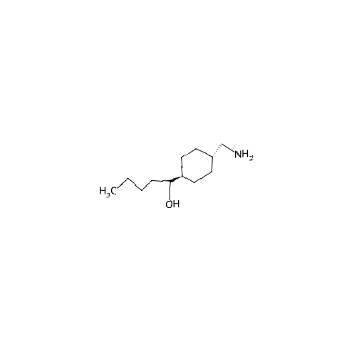 CCCCC(O)[C@H]1CC[C@H](CN)CC1